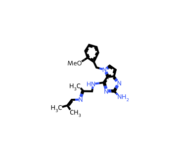 COc1ccccc1Cn1ccc2nc(N)nc(NC/C(C)=N/C=C(C)C)c21